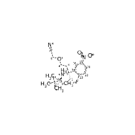 CC[C@@](CCOCC#N)(NSC(C)(C)C)c1cc([N+](=O)[O-])ccc1F